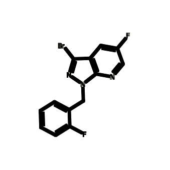 Fc1cnc2c(c1)c(Br)nn2Cc1ccccc1F